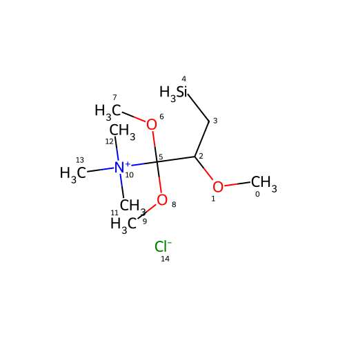 COC(C[SiH3])C(OC)(OC)[N+](C)(C)C.[Cl-]